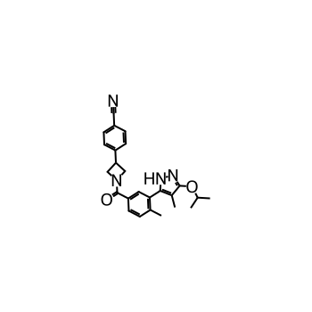 Cc1ccc(C(=O)N2CC(c3ccc(C#N)cc3)C2)cc1-c1[nH]nc(OC(C)C)c1C